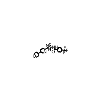 O=C(Nc1nc(-c2ccc(C3=CCOCC3)cn2)ns1)c1ccc(C(F)(F)F)cc1